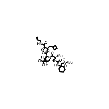 C=CCNC(=O)C(=O)C(CC1CCC1)NC(=O)[C@@H]1[C@@H]2[C@H](CN1C(=O)[C@@H](NC(=O)NC1(CS(=O)(=O)C(C)(C)C)CCCCC1)C(C)(C)C)C2(Cl)Cl